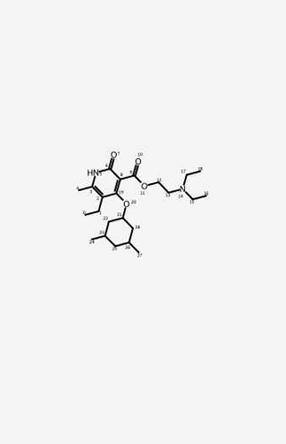 CCc1c(C)[nH]c(=O)c(C(=O)OCCN(CC)CC)c1OC1CC(C)CC(C)C1